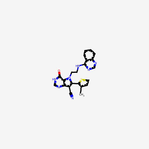 Cc1ccsc1-c1c(C#N)c2nc[nH]c(=O)c2n1CCNc1ncnc2ccccc12